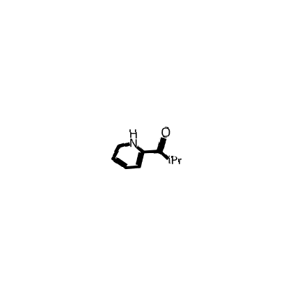 CC(C)C(=O)C1=CC=CCN1